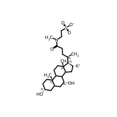 C[C@H](CCC(=O)N(C)CCS(=O)(=O)[O-])[C@H]1CCC2C3C(CC[C@@]21C)[C@@]1(C)CC[C@@H](O)CC1C[C@H]3O.[K+]